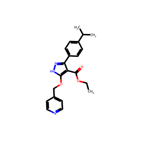 CCOC(=O)c1c(-c2ccc(C(C)C)cc2)n[nH]c1OCc1ccncc1